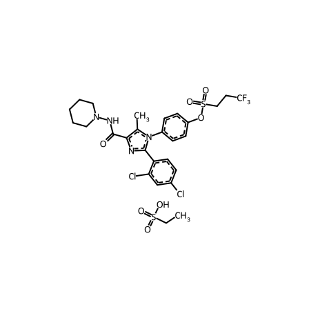 CCS(=O)(=O)O.Cc1c(C(=O)NN2CCCCC2)nc(-c2ccc(Cl)cc2Cl)n1-c1ccc(OS(=O)(=O)CCC(F)(F)F)cc1